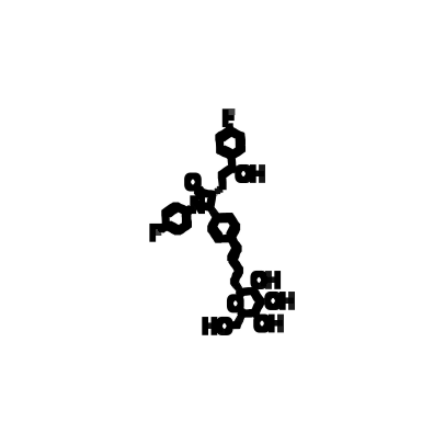 O=C1[C@H](CC[C@H](O)c2ccc(F)cc2)[C@@H](c2ccc(/C=C/CC[C@@H]3O[C@H](CO)[C@@H](O)[C@H](O)[C@H]3O)cc2)N1c1ccc(F)cc1